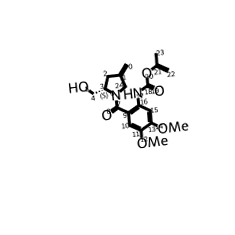 C=C1C[C@@H](CO)N(C(=O)c2cc(OC)c(OC)cc2NC(=O)OC(=C)C)C1